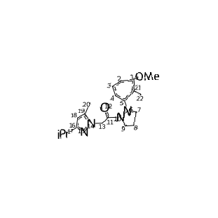 COc1cccc(N2CCCN2C(=O)Cn2nc(C(C)C)cc2C)c1C